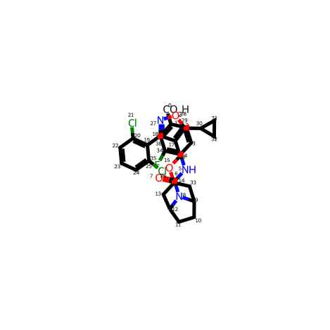 O=C(O)c1ccc(NC(=O)N2C3CCC2CC(OCc2c(-c4c(Cl)cccc4Cl)noc2C2CC2)C3)c(F)c1